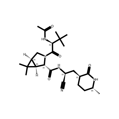 CC(=O)N[C@H](C(=O)N1C[C@H]2[C@@H]([C@H]1C(=O)N[C@H](C#N)C[C@@H]1CC[C@@H](C)NC1=O)C2(C)C)C(C)(C)C